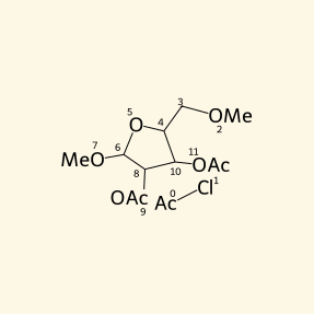 CC(=O)Cl.COCC1OC(OC)C(OC(C)=O)C1OC(C)=O